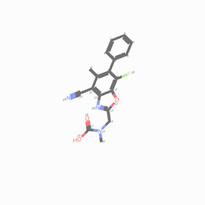 Cc1c(-c2ccccc2)c(F)c2oc(CN(C)C(=O)O)nc2c1C#N